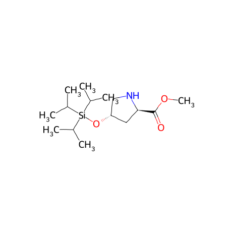 COC(=O)[C@H]1C[C@H](O[Si](C(C)C)(C(C)C)C(C)C)CN1